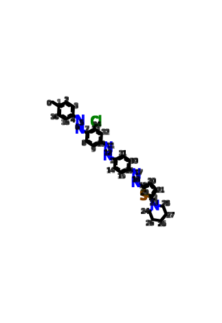 Cc1ccc(N=Nc2ccc(N=Nc3ccc(N=Nc4ccc(N5CCCCC5)s4)cc3)cc2Cl)cc1